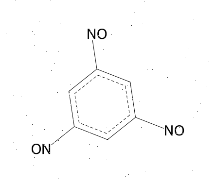 O=Nc1cc(N=O)cc(N=O)c1